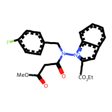 CCOC(=O)c1cc2ccccc2n1N(Cc1ccc(F)cc1)C(=O)CC(=O)OC